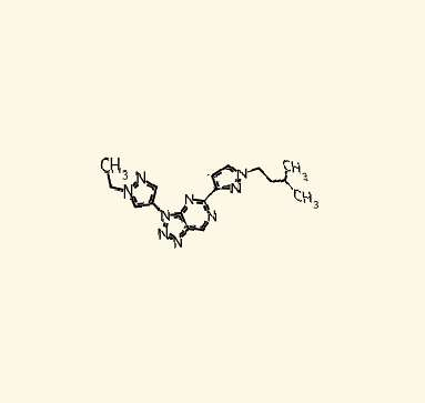 CCn1cc(-n2nnc3cnc(-c4[c]cn(CCC(C)C)n4)nc32)cn1